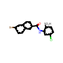 O=C(Nc1cc(Cl)ccc1S(=O)(=O)O)c1ccc2cc(Br)ccc2c1